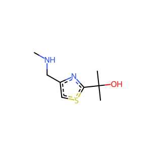 CNCc1csc(C(C)(C)O)n1